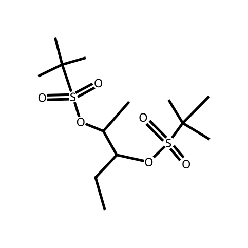 CCC(OS(=O)(=O)C(C)(C)C)C(C)OS(=O)(=O)C(C)(C)C